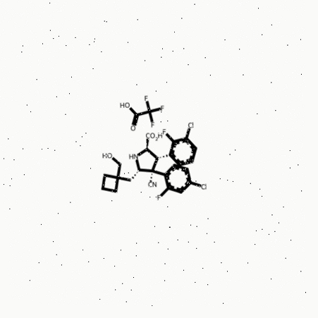 N#C[C@]1(c2ccc(Cl)cc2F)[C@H](CC2(CO)CCC2)N[C@@H](C(=O)O)[C@@H]1c1cccc(Cl)c1F.O=C(O)C(F)(F)F